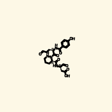 O=CCC[C@H](NC(=O)c1ccc(O)cc1)C(=O)N1NCCC[C@H]1C(=O)N[C@H](C=O)CC(=O)O